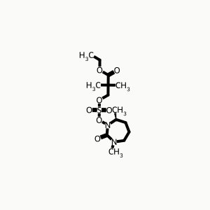 CCOC(=O)C(C)(C)COS(=O)(=O)ON1C(=O)N(C)CCC[C@@H]1C